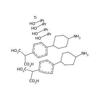 CC(C)O.CC(C)O.CC(C)O.CC(C)O.NC1CCC(c2ccc(C(C(=O)O)C(=O)O)cc2)CC1.NC1CCC(c2ccc(C(C(=O)O)C(=O)O)cc2)CC1.[Ti]